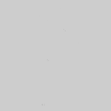 Cc1c(N2CCC(CC(O)O)CC2)c(F)cc2c(=O)c(C(=O)O)cn(C3CC3)c12